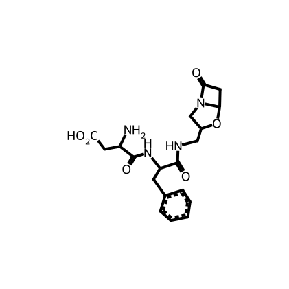 NC(CC(=O)O)C(=O)NC(Cc1ccccc1)C(=O)NCC1CN2C(=O)CC2O1